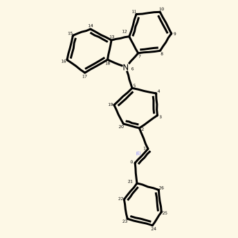 C(=C\c1ccc(-n2c3ccccc3c3ccccc32)cc1)/c1ccccc1